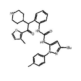 Cc1ccc(-n2nc(C(C)(C)C)cc2NC(=O)Nc2ccccc2C(C(=O)c2occc2C)C2CCNCC2)cc1